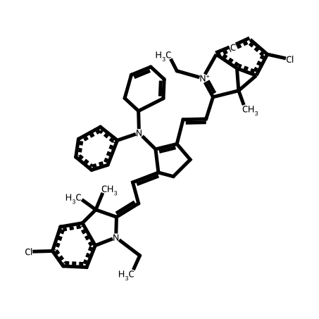 CCN1/C(=C/C=C2\CCC(/C=C/C3=[N+](CC)c4ccc(Cl)c5c4C35C)=C2N(c2ccccc2)C2C=CC=CC2)C(C)(C)c2cc(Cl)ccc21